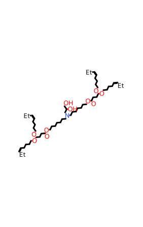 CC/C=C\CCCCOC(CCC(=O)OCCCCCCCN(CCCCCCCOC(=O)CCC(OCCCC/C=C\CC)OCCCC/C=C\CC)CC(O)CO)OCCCC/C=C\CC